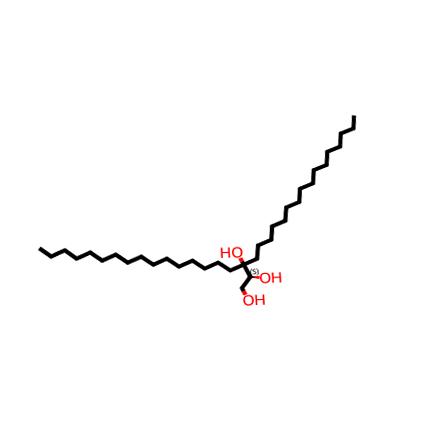 CCCCCCCCCCCCCCCCC(O)(CCCCCCCCCCCCCCCC)[C@@H](O)CO